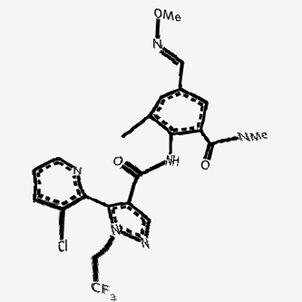 CNC(=O)c1cc(C=NOC)cc(C)c1NC(=O)c1cnn(CC(F)(F)F)c1-c1ncccc1Cl